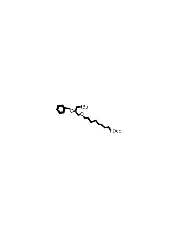 CCCCCCCCCCCCCCCCCCOCC(CC(C)(C)C)OCc1ccccc1